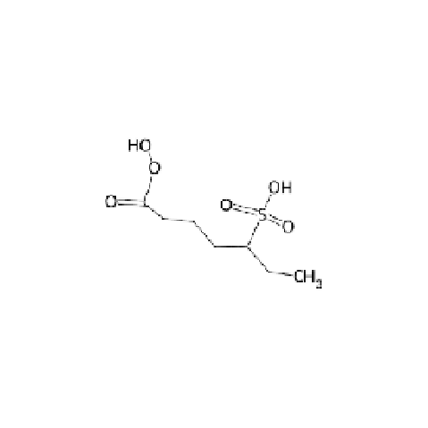 CCC(CCCC(=O)OO)S(=O)(=O)O